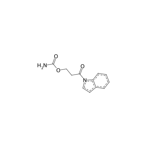 NC(=O)OCCC(=O)n1ccc2ccccc21